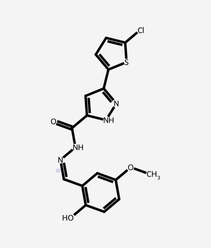 COc1ccc(O)c(/C=N\NC(=O)c2cc(-c3ccc(Cl)s3)n[nH]2)c1